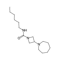 CCCCCCNC(=O)N1CC(N2CCCCCC2)C1